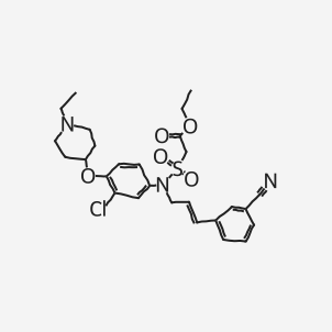 CCOC(=O)CS(=O)(=O)N(C/C=C/c1cccc(C#N)c1)c1ccc(OC2CCN(CC)CC2)c(Cl)c1